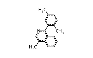 Cc1ccc(C)c(-c2ncc(C)c3ccccc23)c1